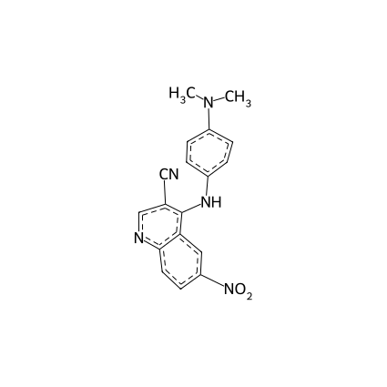 CN(C)c1ccc(Nc2c(C#N)cnc3ccc([N+](=O)[O-])cc23)cc1